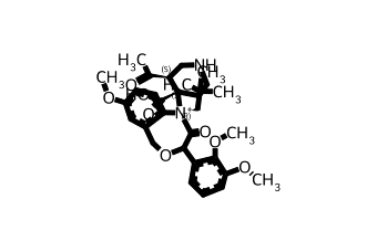 COc1ccc2c(c1)COC(c1cccc(OC)c1OC)C(=O)[N@@+]2(CC(C)(C)C)[C@@]1(C(=O)O)CCNC[C@@H]1C(C)=O